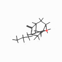 NC(F)(C(F)(F)OC1(F)C2(F)C(=O)C3(F)C(F)(F)C(F)(C2(F)F)C(F)(F)C1(F)C3(F)F)C(F)(F)C(F)(F)F